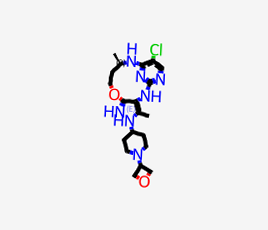 C/C(NC1CCN(C2COC2)CC1)=C1\Nc2ncc(Cl)c(n2)N[C@H](C)CCOC1=N